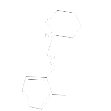 Cc1ccccc1/C=C/[SiH]1CCCCO1